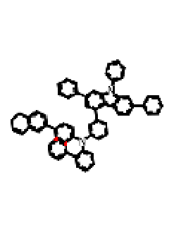 C1=Cc2cc(-c3ccc(N(c4cccc(-c5cc(-c6ccccc6)cc6c5c5ccc(-c7ccccc7)cc5n6-c5ccccc5)c4)c4ccccc4-c4ccccc4)cc3)ccc2CC1